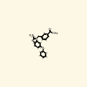 COC(=O)c1cccc(Cn2c(N)nc3ccc(Oc4ccccc4)cc32)c1